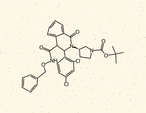 CC(C)(C)OC(=O)N1CC[C@@H](N2C(=O)c3ccccc3C(C(=O)NOCc3ccccc3)C2c2ccc(Cl)cc2Cl)C1